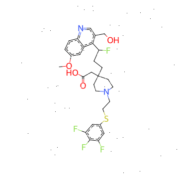 COc1ccc2ncc(CO)c(C(F)CCC3(CC(=O)O)CCN(CCSc4cc(F)c(F)c(F)c4)CC3)c2c1